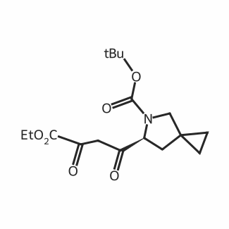 CCOC(=O)C(=O)CC(=O)[C@@H]1CC2(CC2)CN1C(=O)OC(C)(C)C